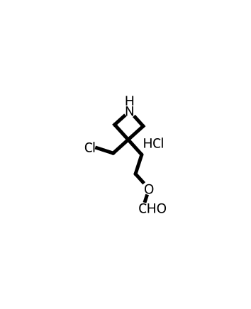 Cl.O=COCCC1(CCl)CNC1